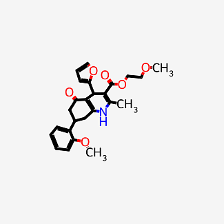 COCCOC(=O)C1=C(C)NC2=C(C(=O)CC(c3ccccc3OC)C2)C1c1ccco1